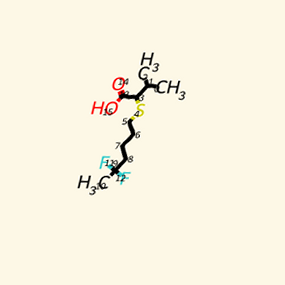 CC(C)C(SCCCCC(C)(F)F)C(=O)O